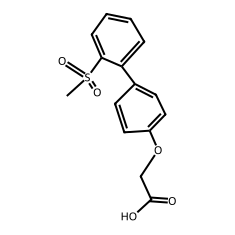 CS(=O)(=O)c1ccccc1-c1ccc(OCC(=O)O)cc1